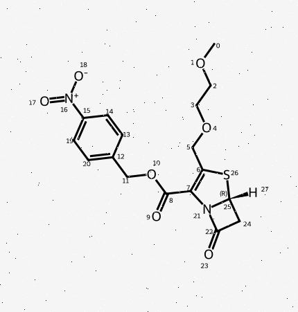 COCCOCC1=C(C(=O)OCc2ccc([N+](=O)[O-])cc2)N2C(=O)C[C@H]2S1